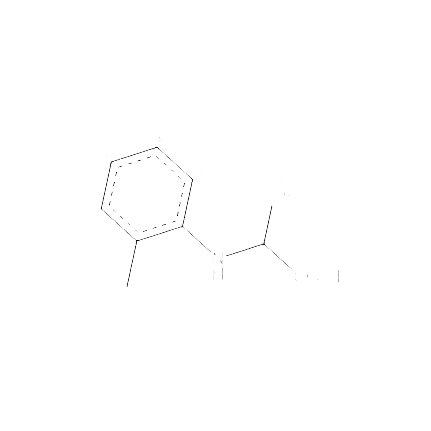 Cc1ccccc1NC(C(=O)O)C(C)C